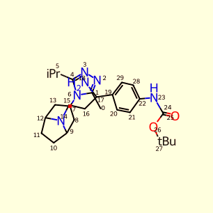 Cc1nnc(C(C)C)n1C1CC2CCC(C1)N2CCC(N)c1ccc(NC(=O)OC(C)(C)C)cc1